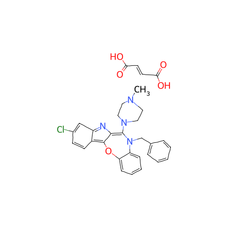 CN1CCN(C2=C3N=c4cc(Cl)ccc4=C3Oc3ccccc3N2Cc2ccccc2)CC1.O=C(O)/C=C/C(=O)O